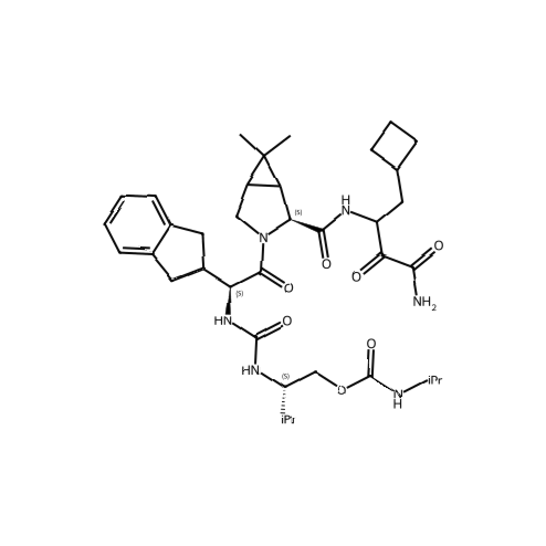 CC(C)NC(=O)OC[C@@H](NC(=O)N[C@H](C(=O)N1CC2C([C@H]1C(=O)NC(CC1CCC1)C(=O)C(N)=O)C2(C)C)C1Cc2ccccc2C1)C(C)C